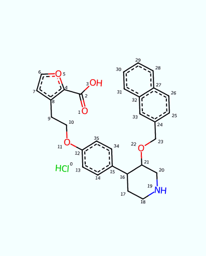 Cl.O=C(O)c1occc1CCOc1ccc(C2CCNCC2OCc2ccc3ccccc3c2)cc1